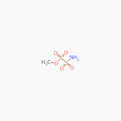 COS(=O)(=O)S(N)(=O)=O